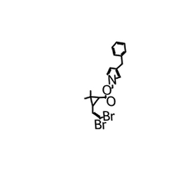 CC1(C)C(C=C(Br)Br)C1C(=O)OCn1ccc(Cc2ccccc2)c1